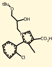 Cc1c(C(=O)O)cn(CC(O)COC(C)(C)C)c1-c1ccccc1Cl